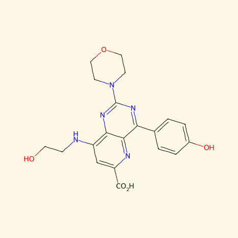 O=C(O)c1cc(NCCO)c2nc(N3CCOCC3)nc(-c3ccc(O)cc3)c2n1